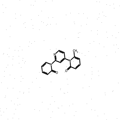 Cc1cccc(=O)n1-c1ccnc(-n2ccccc2=O)c1